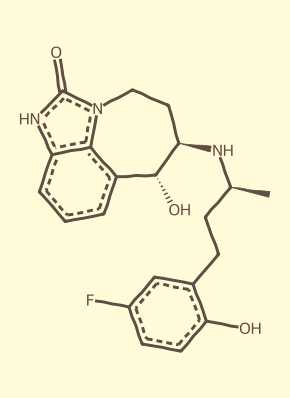 C[C@@H](CCc1cc(F)ccc1O)N[C@@H]1CCn2c(=O)[nH]c3cccc(c32)[C@H]1O